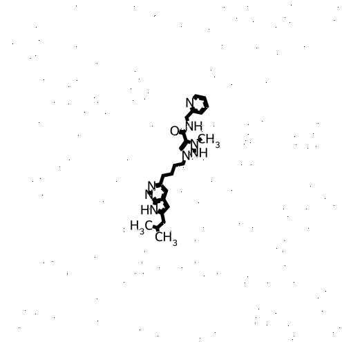 CC(C)Cc1cc2cc(CCCCN3C=C(C(=O)NCc4ccccn4)N(C)N3)nnc2[nH]1